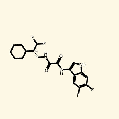 O=C(NC[C@@H](C(F)F)C1CCCCC1)C(=O)Nc1c[nH]c2cc(F)c(F)cc12